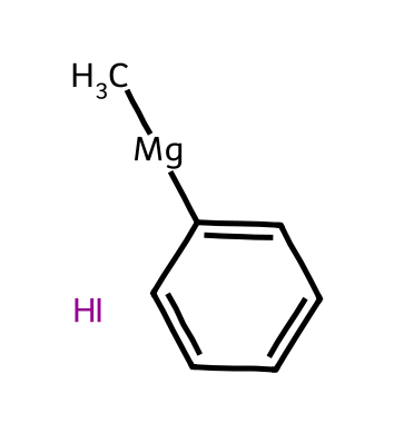 I.[CH3][Mg][c]1ccccc1